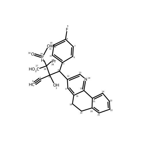 C#CC(O)(C(c1ccc(F)cc1)c1cnc2c(c1)CCc1ccccc1-2)C(C(=O)O)(C(C)C)[PH](=O)OC